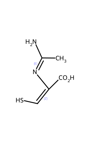 C/C(N)=N\C(=C/S)C(=O)O